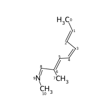 C/C=C/C=C\C=C(C)\C=N/C